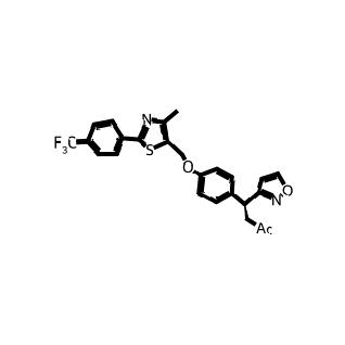 CC(=O)C[C@@H](c1ccc(OCc2sc(-c3ccc(C(F)(F)F)cc3)nc2C)cc1)c1ccon1